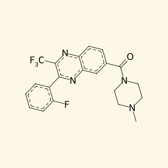 CN1CCN(C(=O)c2ccc3nc(C(F)(F)F)c(-c4ccccc4F)nc3c2)CC1